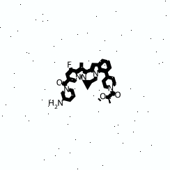 CO[C@H](C)C(=O)N1CCC(c2cccc3cc(-c4nn5cc(C(=O)N6CCC[C@@H](N)C6)cc(F)c5c4C)n(CC4CC4)c23)CC1